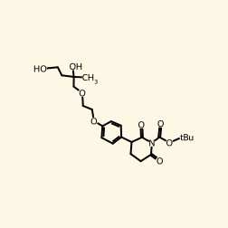 CC(O)(CCO)COCCOc1ccc(C2CCC(=O)N(C(=O)OC(C)(C)C)C2=O)cc1